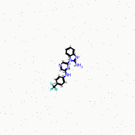 Nc1nc2ccccc2n1-c1cncc(Nc2ccc(C(F)(F)F)cc2)n1